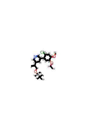 C=C(CO[Si](C)(C)C(C)(C)C)c1cncc(-c2cc(OCC)c(OC)cc2Cl)c1